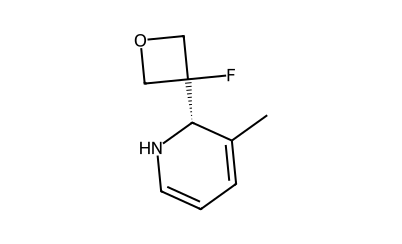 CC1=CC=CN[C@@H]1C1(F)COC1